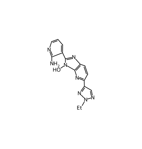 CCn1ncc(-c2ccc3nc(-c4cccnc4N)n(O)c3n2)n1